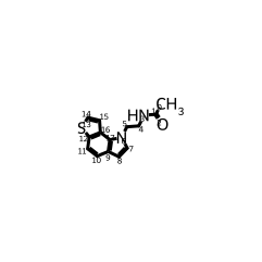 CC(=O)NCCn1ccc2ccc3sccc3c21